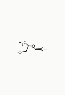 [CH]=COC(C)C[O]